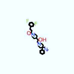 CN1CC2(CCN(CC(O)C3CCN(C(=O)/C=C/c4cc(F)cc(F)c4)CC3)CC2)c2ccccc21